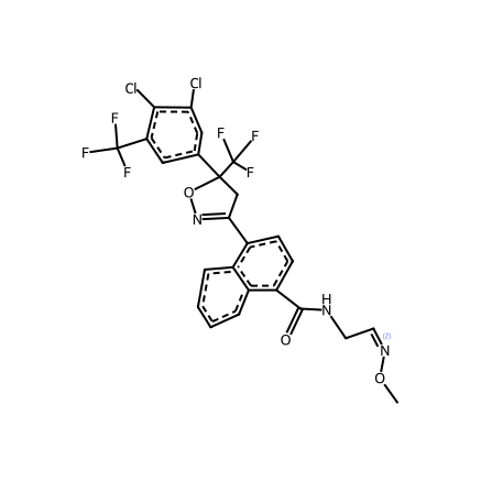 CO/N=C\CNC(=O)c1ccc(C2=NOC(c3cc(Cl)c(Cl)c(C(F)(F)F)c3)(C(F)(F)F)C2)c2ccccc12